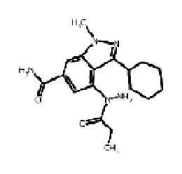 CCC(=O)N(N)c1cc(C(N)=O)cc2c1c(C1CCCCC1)nn2C